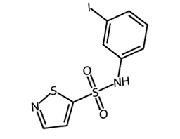 O=S(=O)(Nc1cccc(I)c1)c1ccns1